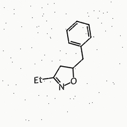 CCC1=NOC(Cc2[c]cccc2)C1